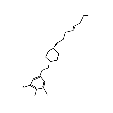 CCC/C=C/CCC[C@H]1CC[C@H](CCc2cc(F)c(F)c(F)c2)CC1